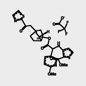 COC(=O)c1sccc1NC(C(=O)O[C@H]1C[N+]2(CC(=O)c3nccs3)CCC1CC2)c1ccc(OC)nc1.O=C([O-])C(F)(F)F